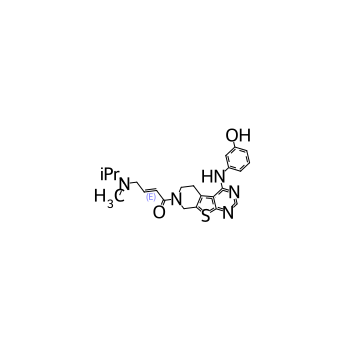 CC(C)N(C)C/C=C/C(=O)N1CCc2c(sc3ncnc(Nc4cccc(O)c4)c23)C1